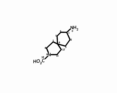 NC1CCC2(CC1)CCN(C(=O)O)CC2